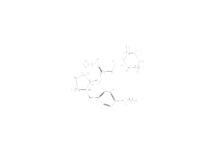 COc1ccc(C[C@H]2NC[C@H](O)[C@H]2OC(=O)CC[C@H]2CNCCN2)cc1